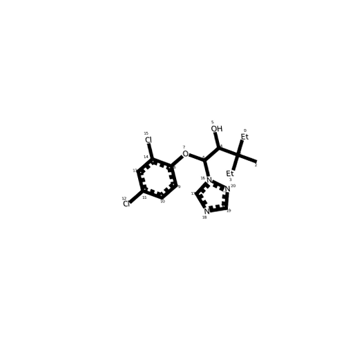 CCC(C)(CC)C(O)C(Oc1ccc(Cl)cc1Cl)n1cncn1